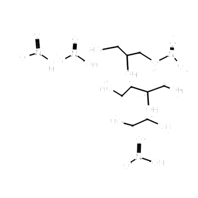 O=[N+]([O-])O.O=[N+]([O-])O.O=[N+]([O-])O.O=[N+]([O-])OCC(O)CO.OCCC(O)CO.OCCO